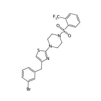 O=S(=O)(c1ccccc1C(F)(F)F)N1CCN(c2nc(Cc3cccc(Br)c3)cs2)CC1